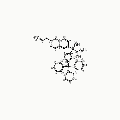 C=CCc1ccc2cc(C(O)(c3cn(C(c4ccccc4)(c4ccccc4)c4ccccc4)cn3)C(C)C)ccc2c1